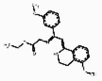 CCOC(=O)CN=C(C=C1NCCc2c(OC)cccc21)c1cccc(OC)c1